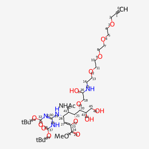 C#CCOCCOCCOCCOCCNC(O)CO[C@@H]([C@@H]1OC(C(=O)OC)=C[C@H](N/C(=N/C(=O)OC(C)(C)C)NC(=O)OC(C)(C)C)[C@H]1NC(C)=O)[C@H](O)CO